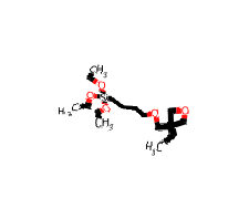 CCO[Si](CCCCOCC1(CC)COC1)(OCC)OCC